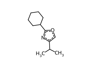 CC(C)c1coc(C2CCCCC2)n1